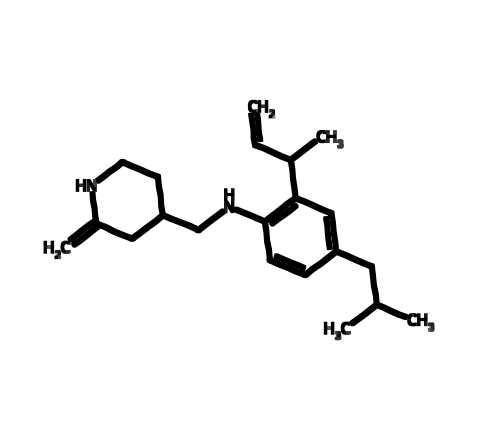 C=CC(C)c1cc(CC(C)C)ccc1NCC1CCNC(=C)C1